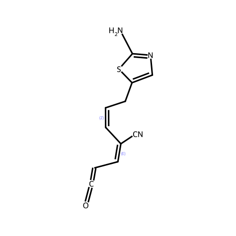 N#CC(/C=C\Cc1cnc(N)s1)=C/C=C=O